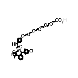 Cc1noc2c1-c1ccccc1C(c1ccc(Cl)cc1)=N[C@H]2CC(=O)Nc1ccc(OCCOCCOCCOCCOCCOCCC(=O)O)cc1